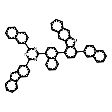 c1ccc2cc(-c3nc(-c4ccc5c(c4)sc4ccccc45)nc(-c4ccc(-c5ccc(-c6ccc7ccccc7c6)c6oc7cc8ccccc8cc7c56)c5ccccc45)n3)ccc2c1